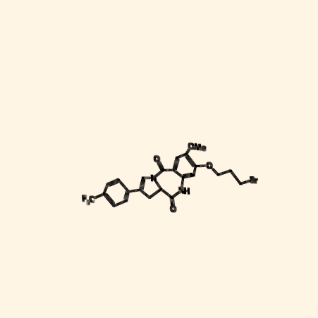 COc1cc2c(cc1OCCCBr)NC(=O)C1CC(c3ccc(C(F)(F)F)cc3)=CN1C2=O